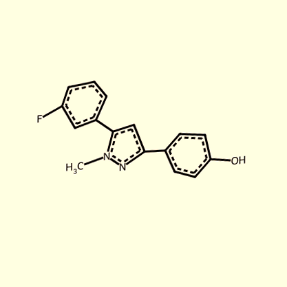 Cn1nc(-c2ccc(O)cc2)cc1-c1cccc(F)c1